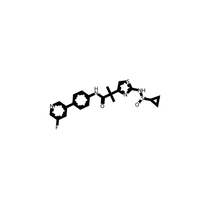 CC(C)(C(=O)Nc1ccc(-c2cncc(F)c2)cc1)c1csc(N[S+]([O-])C2CC2)n1